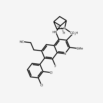 CSc1nc2c(F)c(-c3cccc(Cl)c3Cl)c(CCC#N)cc2c(N[C@H]2C3CC2N(C(=O)O)C3)c1I